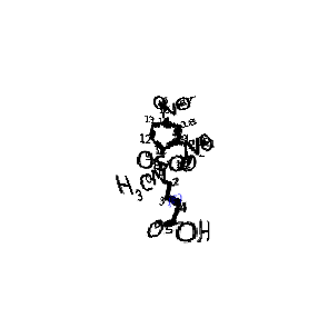 CN(C/C=C/C(=O)O)S(=O)(=O)c1ccc([N+](=O)[O-])cc1[N+](=O)[O-]